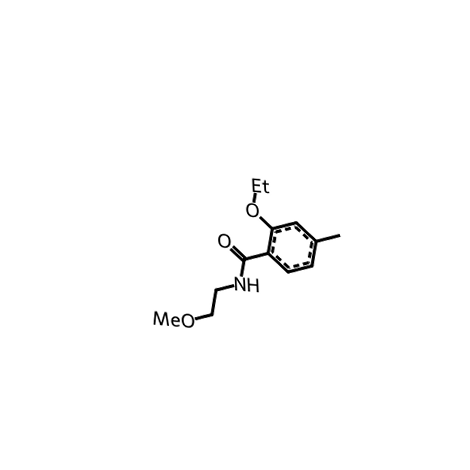 CCOc1cc(C)ccc1C(=O)NCCOC